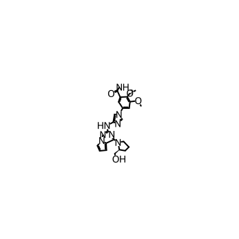 COc1cc(-n2cnc(Nc3nc(N4CCC[C@H]4CO)c4cccn4n3)c2)cc(C(N)=O)c1OC